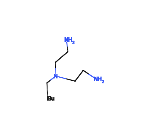 CCC(C)CN(CCN)CCN